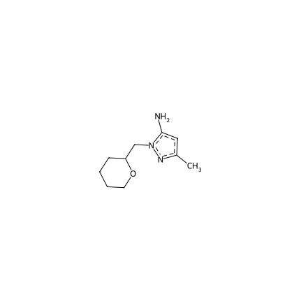 Cc1cc(N)n(CC2CCCCO2)n1